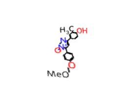 COCCOc1ccc(-c2cc(-c3ccc(O)c(C)c3)nc[n+]2[O-])cc1